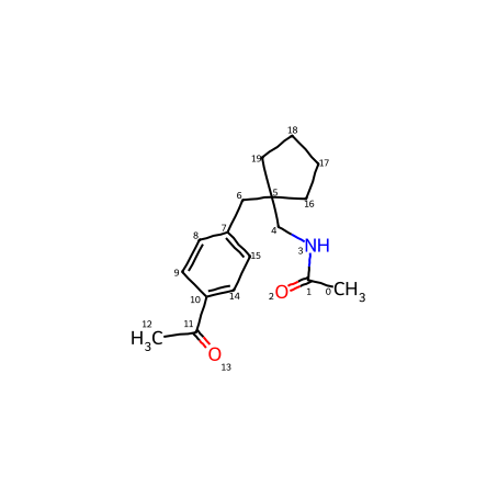 CC(=O)NCC1(Cc2ccc(C(C)=O)cc2)CCCC1